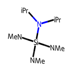 CN[Si](NC)(NC)N(C(C)C)C(C)C